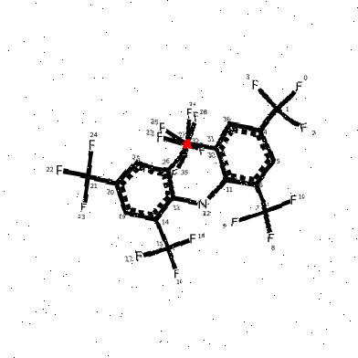 FC(F)(F)c1cc(C(F)(F)F)c([N]c2c(C(F)(F)F)cc(C(F)(F)F)cc2C(F)(F)F)c(C(F)(F)F)c1